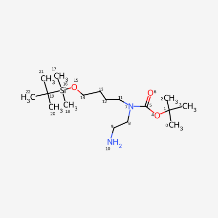 CC(C)(C)OC(=O)N(CCN)CCCCO[Si](C)(C)C(C)(C)C